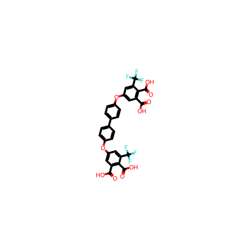 O=C(O)c1cc(Oc2ccc(-c3ccc(Oc4cc(C(=O)O)c(C(=O)O)c(C(F)(F)F)c4)cc3)cc2)cc(C(F)(F)F)c1C(=O)O